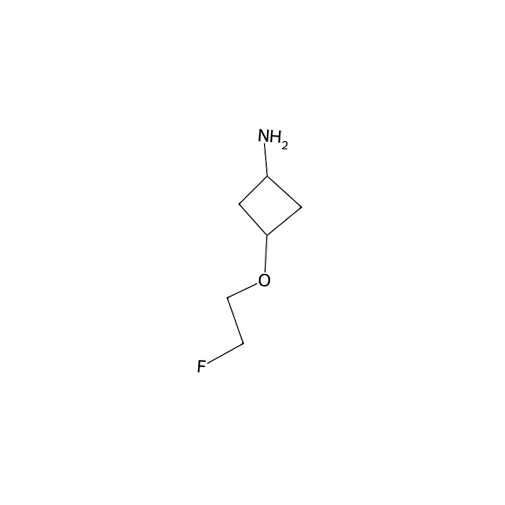 NC1CC(OCCF)C1